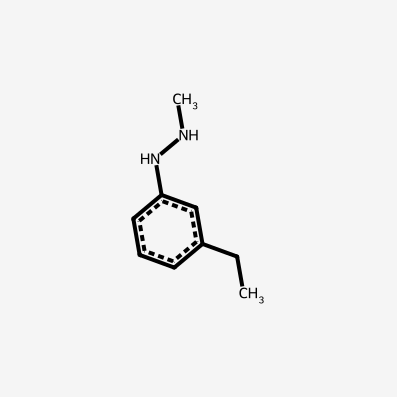 CCc1cccc(NNC)c1